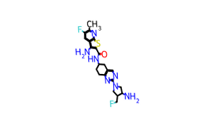 Cc1nc2sc(C(=O)NC3CCc4nc(N5CC(N)C(CF)C5)ncc4C3)c(N)c2cc1F